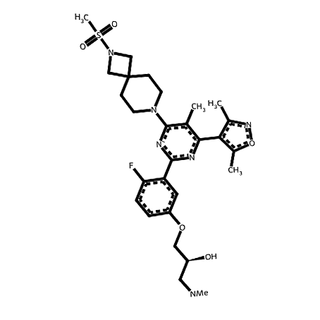 CNC[C@H](O)COc1ccc(F)c(-c2nc(-c3c(C)noc3C)c(C)c(N3CCC4(CC3)CN(S(C)(=O)=O)C4)n2)c1